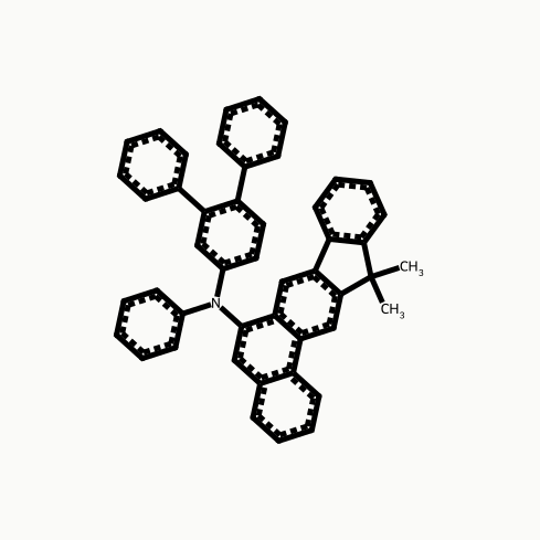 CC1(C)c2ccccc2-c2cc3c(N(c4ccccc4)c4ccc(-c5ccccc5)c(-c5ccccc5)c4)cc4ccccc4c3cc21